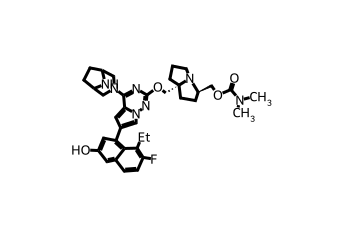 CCc1c(F)ccc2cc(O)cc(-c3cc4c(N5CC6CCC(C5)N6)nc(OC[C@]56CCCN5[C@@H](COC(=O)N(C)C)CC6)nn4c3)c12